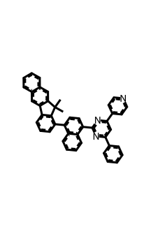 CC1(C)c2cc3ccccc3cc2-c2cccc(-c3ccc(-c4nc(-c5ccccc5)cc(-c5ccncc5)n4)c4ccccc34)c21